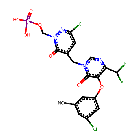 N#Cc1cc(Cl)cc(Oc2c(C(F)F)ncn(Cc3cc(Cl)nn(COP(=O)(O)O)c3=O)c2=O)c1